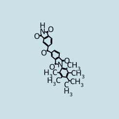 Cc1c(C)c(N2C(=O)c3ccc(C(=O)c4ccc5c(c4)C(=O)NC5=O)cc3C2=O)c(C)c(C)c1C(C)C